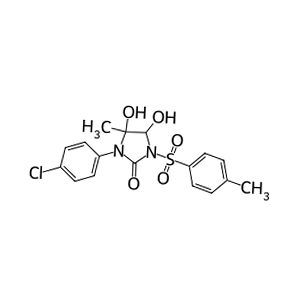 Cc1ccc(S(=O)(=O)N2C(=O)N(c3ccc(Cl)cc3)C(C)(O)C2O)cc1